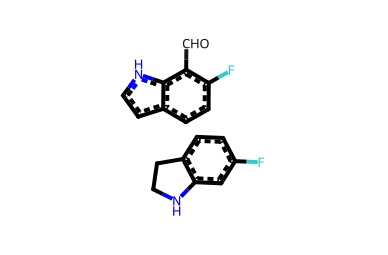 Fc1ccc2c(c1)NCC2.O=Cc1c(F)ccc2cc[nH]c12